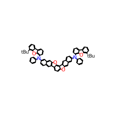 CC(C)(C)c1cccc2c1oc1c(N(c3ccccc3)c3ccc4cc5c(cc4c3)oc3c5ccc4oc5cc6cc(N(c7ccccc7)c7cccc8c7oc7c(C(C)(C)C)cccc78)ccc6cc5c43)cccc12